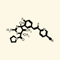 C=C1[C@@](C)(C(=O)N2CCCC2)SC(N)=N[C@]1(C)c1cc(/C=C(\F)c2ccc(C#N)cn2)ccc1F